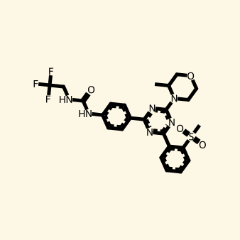 CC1COCCN1c1nc(-c2ccc(NC(=O)NCC(F)(F)F)cc2)nc(-c2ccccc2S(C)(=O)=O)n1